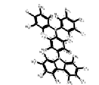 [3H]c1c(C)c([3H])c(N(c2c(C)c(C)c(C)c(C)c2C)c2c(C)c(C)c(-n3c4c(C)c(C)c(C)c(C)c4c4c(C)c(C)c(C)c(C)c43)c(C)c2C)c([3H])c1C